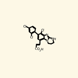 O=C(O)/C=C/c1cc(-c2ccc(Cl)cc2Cl)c(Cl)c2nc3n(c12)CCCN3